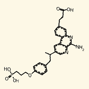 CC(Cc1ccc(OCCCP(=O)(O)O)cc1)c1cnc2c(N)nc3cc(CCC(=O)O)ccc3c2c1